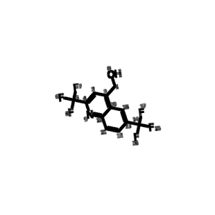 OCc1cc(C(F)(F)F)nc2ccc(C(F)(F)F)cc12